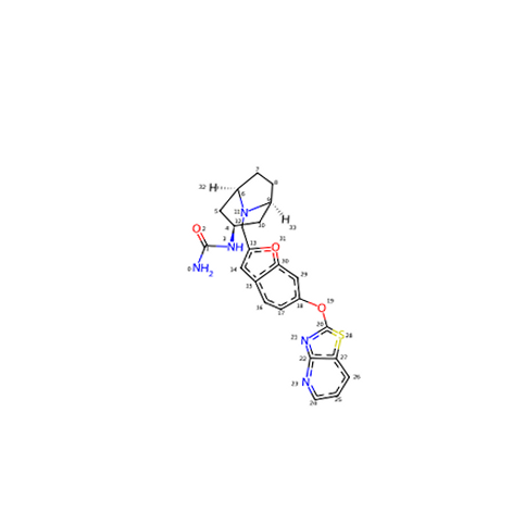 NC(=O)N[C@H]1C[C@H]2CC[C@@H](C1)N2Cc1cc2ccc(Oc3nc4ncccc4s3)cc2o1